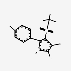 Cn1c(Br)c(Br)c(S(=O)(=O)C(F)(F)F)c1-c1ccc(Cl)cc1